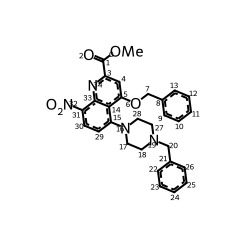 COC(=O)c1cc(OCc2ccccc2)c2c(N3CCN(Cc4ccccc4)CC3)ccc([N+](=O)[O-])c2n1